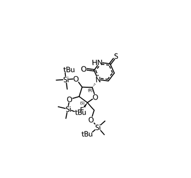 CC(C)(C)[Si](C)(C)OC[C@@]1(F)O[C@@H](n2ccc(=S)[nH]c2=O)C(O[Si](C)(C)C(C)(C)C)C1O[Si](C)(C)C(C)(C)C